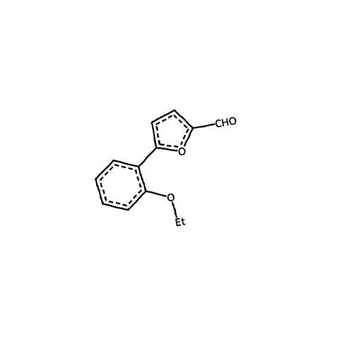 CCOc1ccccc1-c1ccc(C=O)o1